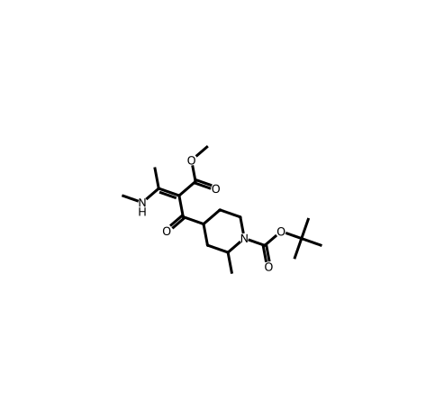 CN/C(C)=C(/C(=O)OC)C(=O)C1CCN(C(=O)OC(C)(C)C)C(C)C1